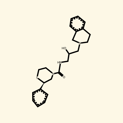 O=C(NCC(O)CN1CCc2ccccc2C1)N1CCS[C@H](c2ccccc2)C1